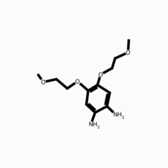 COCCOc1cc(N)c(N)cc1OCCOC